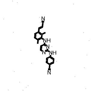 Cc1ccc(C=CC#N)c(C)c1Nc1ccnc(Nc2ccc(C#N)cc2)n1